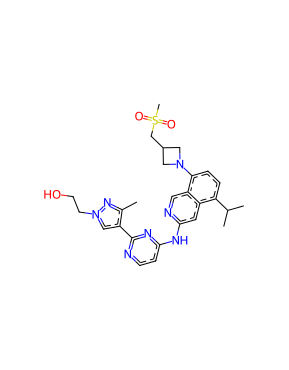 Cc1nn(CCO)cc1-c1nccc(Nc2cc3c(C(C)C)ccc(N4CC(CS(C)(=O)=O)C4)c3cn2)n1